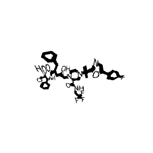 CC(C)(c1ncc(-c2ccc(F)cc2)o1)N1CCN(C[C@@H](O)CC(Cc2ccccc2)C(=O)N[C@H]2c3ccccc3OC[C@H]2O)[C@H](C(=O)NCC(F)(F)F)C1